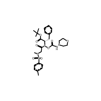 Cc1ccc(S(=O)(=O)N(C)CC(=O)N(OC(=O)NN2CCOCC2)[C@@H](Cc2ccccc2)C(=O)OC(C)(C)C)cc1